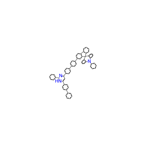 C1=C(c2ccc(-c3ccccc3)cc2)NC(c2ccccc2)N=C1c1ccc(-c2ccc(-c3ccc4c(c3)C3(c5ccccc5-4)c4ccccc4N(c4ccccc4)c4ccccc43)cc2)cc1